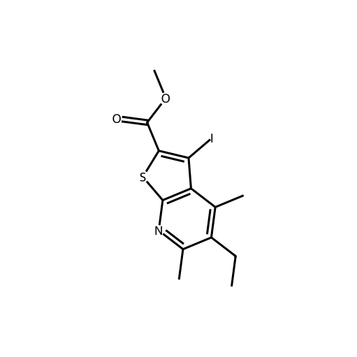 CCc1c(C)nc2sc(C(=O)OC)c(I)c2c1C